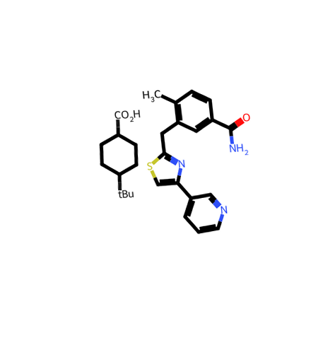 CC(C)(C)C1CCC(C(=O)O)CC1.Cc1ccc(C(N)=O)cc1Cc1nc(-c2cccnc2)cs1